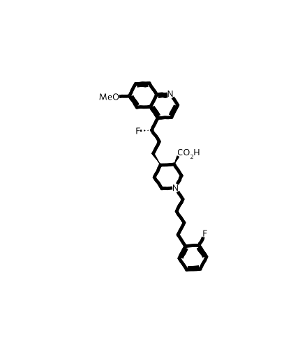 COc1ccc2nccc([C@@H](F)CC[C@@H]3CCN(CCCCc4ccccc4F)C[C@@H]3C(=O)O)c2c1